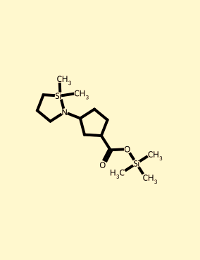 C[Si](C)(C)OC(=O)C1CCC(N2CCC[Si]2(C)C)C1